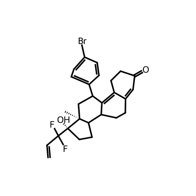 C=CC(F)(F)[C@]1(O)CCC2C3CCC4=CC(=O)CCC4=C3C(c3ccc(Br)cc3)C[C@@]21C